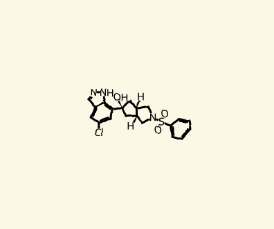 O=S(=O)(c1ccccc1)N1C[C@@H]2C[C@](O)(c3cc(Cl)cc4cn[nH]c34)C[C@@H]2C1